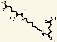 C=C(CCCC(=O)O)C(=O)OCCCCCCOC(=O)C(=C)CCCC(=O)O